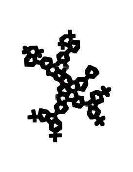 CC(C)(C)c1ccc2c(c1)c1cc(C(C)(C)C)ccc1n2-c1ccc2c(c1)Sc1cc(-c3cc4c5c(c3)Oc3cc(-c6cccc7c6C(C)(C)CCC7(C)C)ccc3B5c3ccc(-c5cccc6c5C(C)(C)CCC6(C)C)cc3O4)cc3c1B2c1ccc(-n2c4ccc(C(C)(C)C)cc4c4cc(C(C)(C)C)ccc42)cc1N3c1ccc(-c2ccccc2)cc1-c1ccccc1